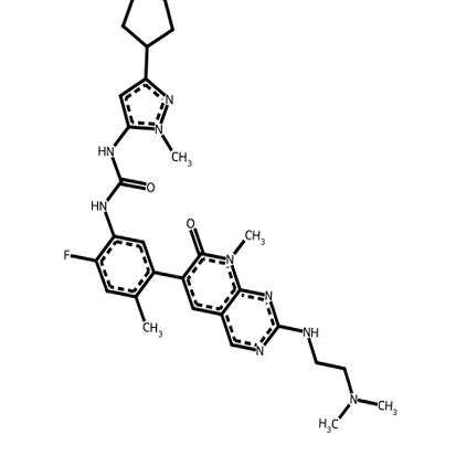 Cc1cc(F)c(NC(=O)Nc2cc(C3CCCC3)nn2C)cc1-c1cc2cnc(NCCN(C)C)nc2n(C)c1=O